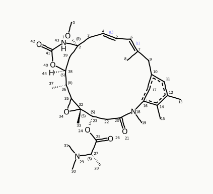 CO[C@]12C/C=C/C=C(\C)Cc3cc(C)c(C)c(c3)N(C)C(=O)C[C@H](OC(=O)[C@H](C)N(C)C)[C@]3(C)OC3[C@H](C)[C@H](C1)OC(=O)N2